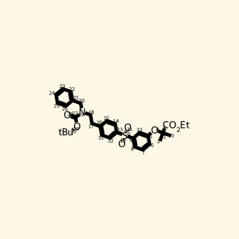 CCOC(=O)C(C)(C)Oc1cccc(S(=O)(=O)c2ccc(CCN(Cc3ccccc3)C(=O)OC(C)(C)C)cc2)c1